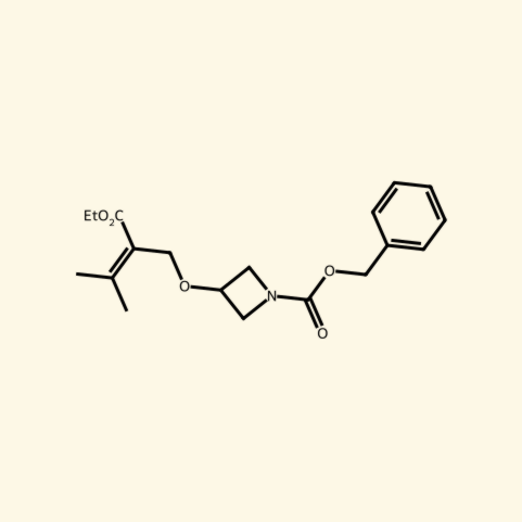 CCOC(=O)C(COC1CN(C(=O)OCc2ccccc2)C1)=C(C)C